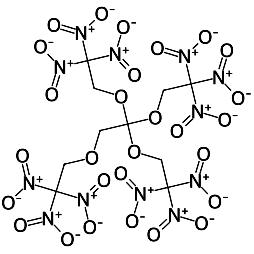 O=[N+]([O-])C(COCC(OCC([N+](=O)[O-])([N+](=O)[O-])[N+](=O)[O-])(OCC([N+](=O)[O-])([N+](=O)[O-])[N+](=O)[O-])OCC([N+](=O)[O-])([N+](=O)[O-])[N+](=O)[O-])([N+](=O)[O-])[N+](=O)[O-]